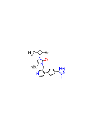 CCCCc1cn(C2C(C)CC2C(C)=O)c(=O)n1Cc1cnccc1-c1ccc(-c2nnn[nH]2)cc1